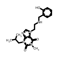 CC(C)Cn1c(=O)n(C)c(=O)c2c1ncn2CCNCc1ccccc1O